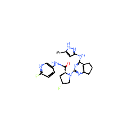 CC(C)c1cc(Nc2nc(N3C[C@H](F)C[C@H]3C(=O)Nc3ccc(F)nc3)nc3c2CCC3)n[nH]1